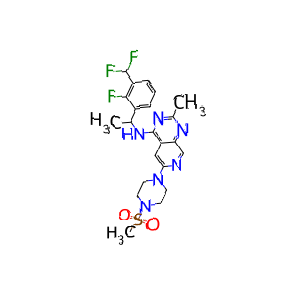 Cc1nc(NC(C)c2cccc(C(F)F)c2F)c2cc(N3CCN(S(C)(=O)=O)CC3)ncc2n1